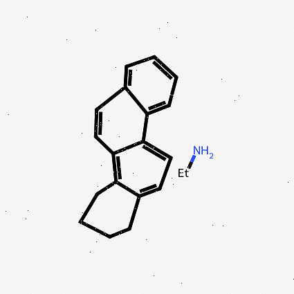 CCN.c1ccc2c(c1)ccc1c3c(ccc12)CCCC3